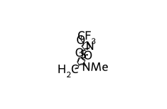 C=Cc1ccc(S(=O)(=O)c2cncc(OC(F)(F)F)c2)cc1NC